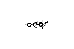 C[C@H]1CC[C@H](C2COC(c3cc(F)c(OC(F)F)c(F)c3)C(F)(F)C2)CC1